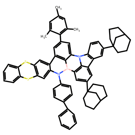 Cc1cc(C)c(-c2cc3c4c(c2)-n2c5ccc(C67CCCC(CCC6)C7)cc5c5cc(C67CCCC(CCC6)C7)cc(c52)B4N(c2ccc(-c4ccccc4)cc2)c2cc4c(cc2-3)Sc2ccccc2S4)c(C)c1